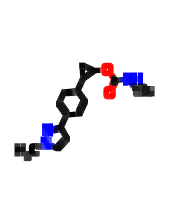 Cn1ccc(-c2ccc(C3CC3OC(=O)NC(C)(C)C)cc2)n1